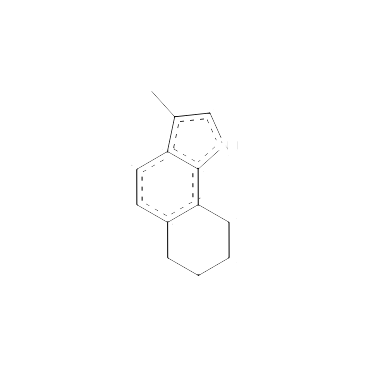 Cc1c[nH]c2c3c(ccc12)CCCC3